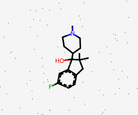 CN1CCC(C2(O)c3cc(F)ccc3CC2(C)C)CC1